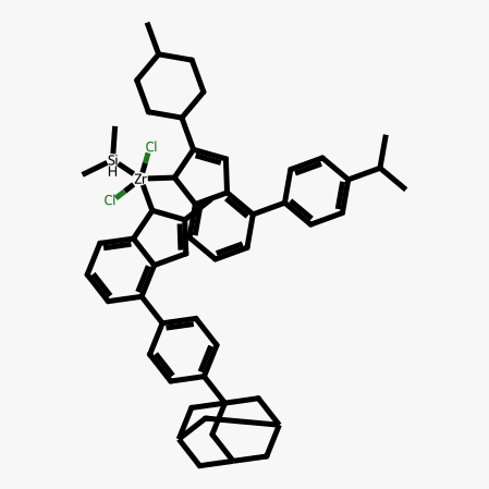 CC1=Cc2c(-c3ccc(C45CC6CC(CC(C6)C4)C5)cc3)cccc2[CH]1[Zr]([Cl])([Cl])([CH]1C(C2CCC(C)CC2)=Cc2c(-c3ccc(C(C)C)cc3)cccc21)[SiH](C)C